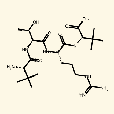 C[C@@H](O)[C@H](NC(=O)[C@@H](N)C(C)(C)C)C(=O)N[C@@H](CCCNC(=N)N)C(=O)N[C@H](C(=O)O)C(C)(C)C